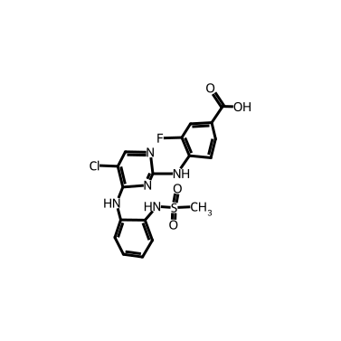 CS(=O)(=O)Nc1ccccc1Nc1nc(Nc2ccc(C(=O)O)cc2F)ncc1Cl